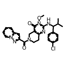 COn1c(NC(c2ccc(Cl)cc2)C(C)C)nc2c(c1=O)CN(C(=O)c1cc3ccccn3n1)CC2